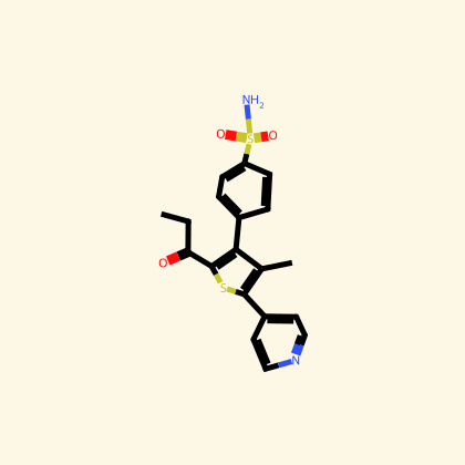 CCC(=O)c1sc(-c2ccncc2)c(C)c1-c1ccc(S(N)(=O)=O)cc1